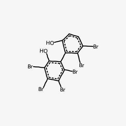 Oc1ccc(Br)c(Br)c1-c1c(O)c(Br)c(Br)c(Br)c1Br